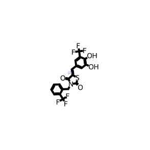 O=C1S/C(=C\c2cc(O)c(O)c(C(F)(F)F)c2)C(=O)N1Cc1ccccc1C(F)(F)F